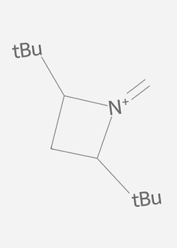 C=[N+]1C(C(C)(C)C)CC1C(C)(C)C